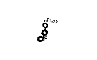 CCCCCC1CCC(c2ccc(C3(F)C=CC=CC3)cc2)CC1